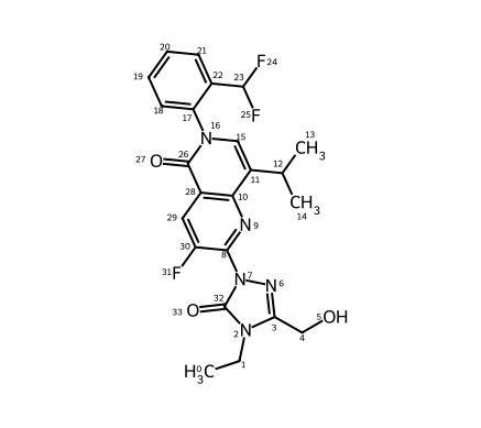 CCn1c(CO)nn(-c2nc3c(C(C)C)cn(-c4ccccc4C(F)F)c(=O)c3cc2F)c1=O